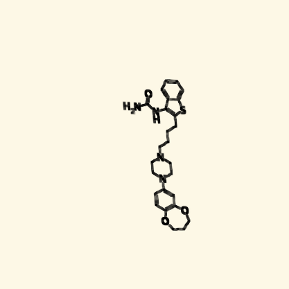 NC(=O)Nc1c(CCCCN2CCN(c3ccc4c(c3)OCCCO4)CC2)sc2ccccc12